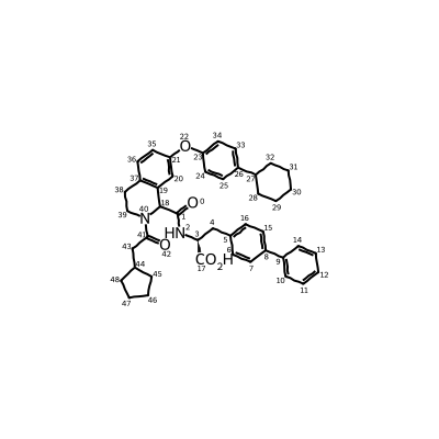 O=C(N[C@@H](Cc1ccc(-c2ccccc2)cc1)C(=O)O)C1c2cc(Oc3ccc(C4CCCCC4)cc3)ccc2CCN1C(=O)CC1CCCC1